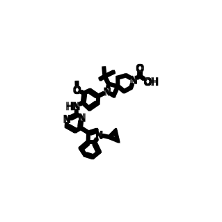 COc1cc(N2CC3(CCN(C(=O)O)CC3)C2C(C)(C)C)ccc1Nc1nccc(-c2cn(C3CC3)c3ccccc23)n1